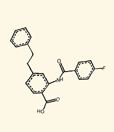 O=C(Nc1cc(CCc2ccccc2)ccc1C(=O)O)c1ccc(F)cc1